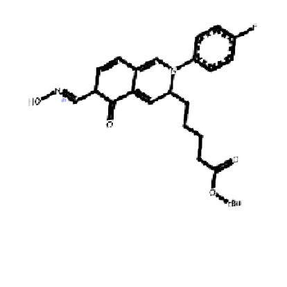 CC(C)(C)OC(=O)CCCCC1C=C2C(=O)C(/C=N/O)C=CC2=CN1c1ccc(F)cc1